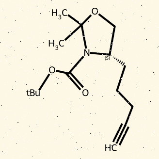 C#CCCC[C@H]1COC(C)(C)N1C(=O)OC(C)(C)C